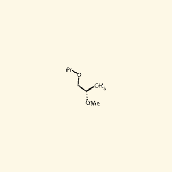 CO[C@@H](C)COC(C)C